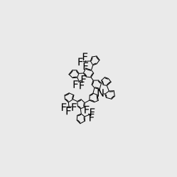 FC(F)(F)c1ccccc1-c1cc(-c2ccc3c(c2)c2cc(-c4cc(-c5ccccc5C(F)(F)F)cc(-c5ccccc5C(F)(F)F)c4)ccc2n3-c2ccccc2-c2ccccc2)cc(-c2ccccc2C(F)(F)F)c1